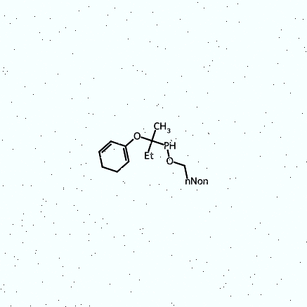 CCCCCCCCCCOPC(C)(CC)OC1=CCCC=C1